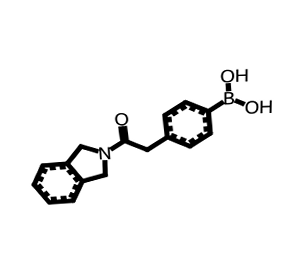 O=C(Cc1ccc(B(O)O)cc1)N1Cc2ccccc2C1